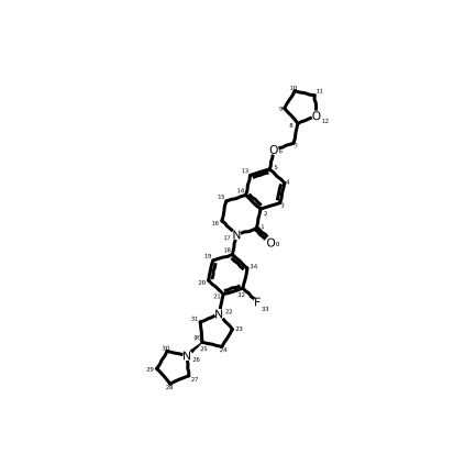 O=C1c2ccc(OCC3CCCO3)cc2CCN1c1ccc(N2CC[C@@H](N3CCCC3)C2)c(F)c1